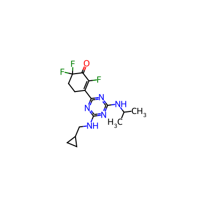 CC(C)Nc1nc(NCC2CC2)nc(C2=C(F)C(=O)C(F)(F)CC2)n1